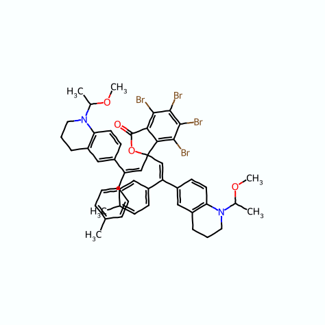 COC(C)N1CCCc2cc(C(=CC3(C=C(c4ccc(C)cc4)c4ccc5c(c4)CCCN5C(C)OC)OC(=O)c4c(Br)c(Br)c(Br)c(Br)c43)c3ccc(C)cc3)ccc21